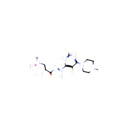 CCCC[C@@H](CN(O)C=O)C(=O)NNc1nc(Cl)nc(N2CCN(C)C[C@H]2C)c1F